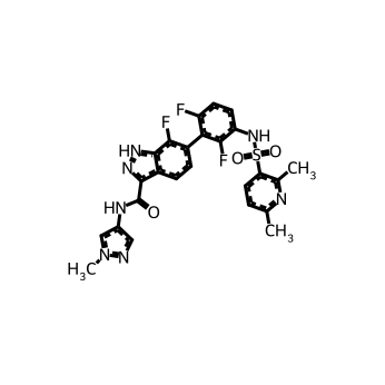 Cc1ccc(S(=O)(=O)Nc2ccc(F)c(-c3ccc4c(C(=O)Nc5cnn(C)c5)n[nH]c4c3F)c2F)c(C)n1